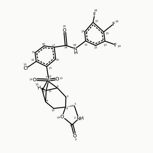 O=C1NC[C@]2(CC3CCC(C2)[C@@H]3S(=O)(=O)c2cc(C(=O)Nc3cc(F)c(F)c(F)c3)ccc2Cl)O1